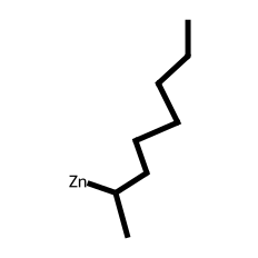 CCCCCC[CH](C)[Zn]